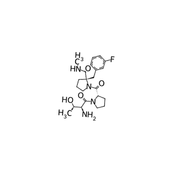 CNC(=O)[C@@]1(Cc2cccc(F)c2)CCCN1C(=O)[C@@H]1CCCN1C(=O)[C@@H](N)[C@@H](C)O